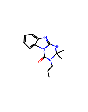 CCCN1C(=O)n2c(nc3ccccc32)NC1(C)C